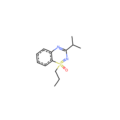 CCCS1(=O)=NC(C(C)C)=Nc2ccccc21